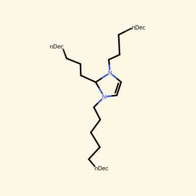 CCCCCCCCCCCCCCCN1C=CN(CCCCCCCCCCCCC)C1CCCCCCCCCCCCC